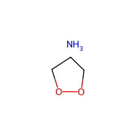 C1COOC1.N